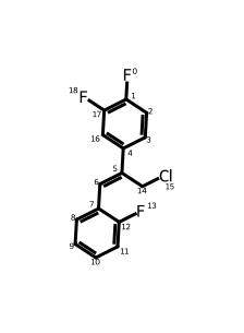 Fc1ccc(C(=Cc2ccccc2F)CCl)cc1F